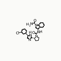 NC(=O)n1cc(NC(=O)N2CCC[C@H]2c2ncc(-c3cccc(Cl)c3)[nH]2)c2ccccc21